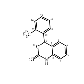 O=C1Nc2ccccc2C(c2ccccc2C(F)(F)F)O1